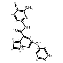 Cc1nc(NC(=O)c2cc(Oc3cccnc3)cn3ncnc23)ccc1F